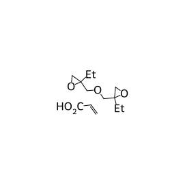 C=CC(=O)O.CCC1(COCC2(CC)CO2)CO1